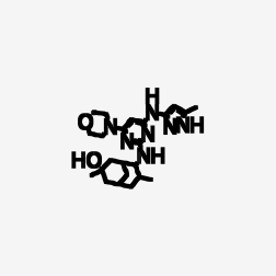 Cc1cc(Nc2cc(N3CCOCC3)nc(NC3C(C)CC4CC3CC(C)(O)C4)n2)n[nH]1